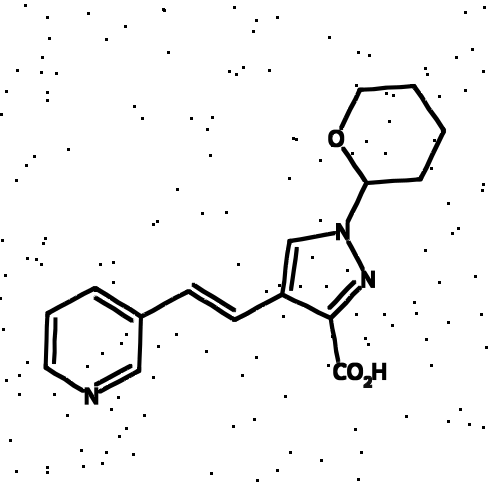 O=C(O)c1nn(C2CCCCO2)cc1C=Cc1cccnc1